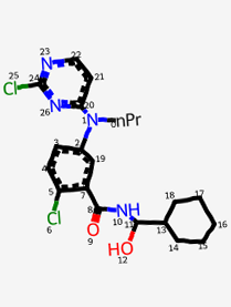 CCCN(c1ccc(Cl)c(C(=O)NC(O)C2CCCCC2)c1)c1ccnc(Cl)n1